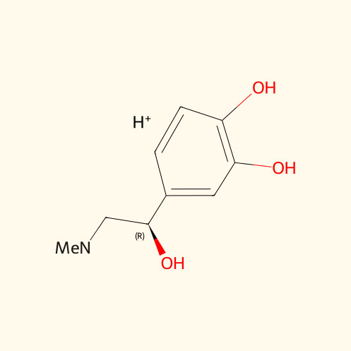 CNC[C@H](O)c1ccc(O)c(O)c1.[H+]